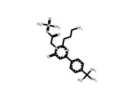 CS(C)(=O)=NC(=O)Cn1c(CCCC(F)(F)F)nc(-c2ccc(C(P)(P)P)cc2)cc1=O